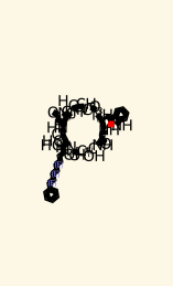 CN1CC(=O)N[C@H](Cc2c[nH]c3ccccc23)C(=O)NCC(=O)NC[C@H](O)CC(=O)N[C@H]([C@H](O)[C@@H](O)C/C=C/C=C/C=C/c2ccccc2)[C@H](O)C(=O)N[C@@H]2CC(=O)N[C@@]2(O)CC1=O